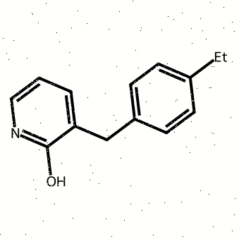 CCc1ccc(Cc2cccnc2O)cc1